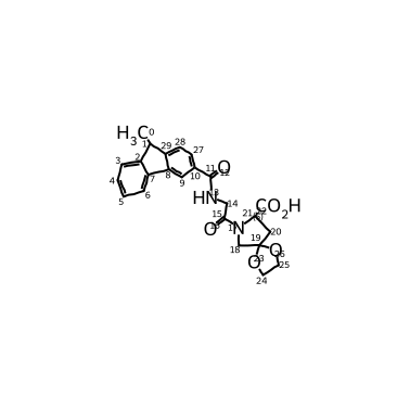 CC1c2ccccc2-c2cc(C(=O)NCC(=O)N3CC4(C[C@H]3C(=O)O)OCCO4)ccc21